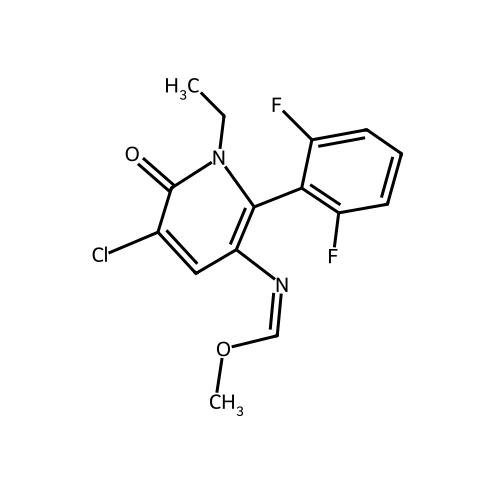 CCn1c(-c2c(F)cccc2F)c(/N=C\OC)cc(Cl)c1=O